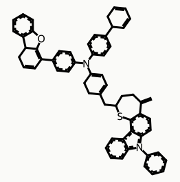 C=C1CCC(CC2=CC=C(N(c3ccc(C4=C5Oc6ccccc6C5CC=C4)cc3)c3ccc(C4C=CC=CC4)cc3)CC2)Sc2c1ccc1c2c2ccccc2n1-c1ccccc1